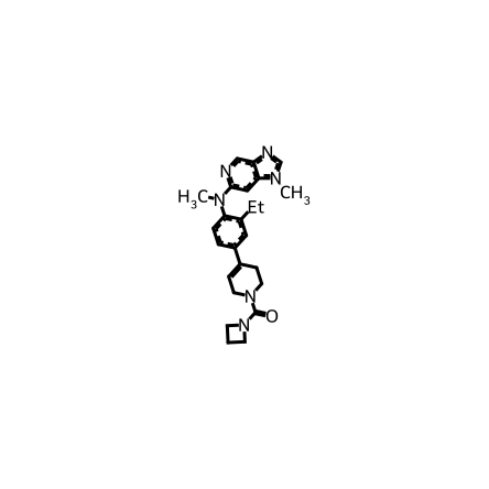 CCc1cc(C2=CCN(C(=O)N3CCC3)CC2)ccc1N(C)c1cc2c(cn1)ncn2C